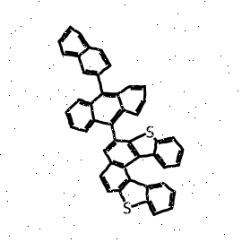 c1ccc2cc(-c3c4ccccc4c(-c4cc5ccc6sc7ccccc7c6c5c5c4sc4ccccc45)c4ccccc34)ccc2c1